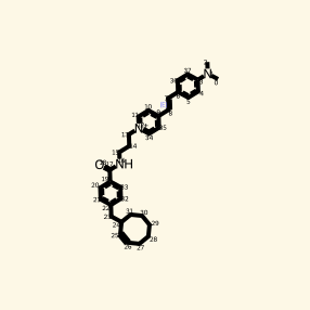 CN(C)c1ccc(/C=C/c2cc[n+](CCCNC(=O)c3ccc(CC4C#CCCCCC4)cc3)cc2)cc1